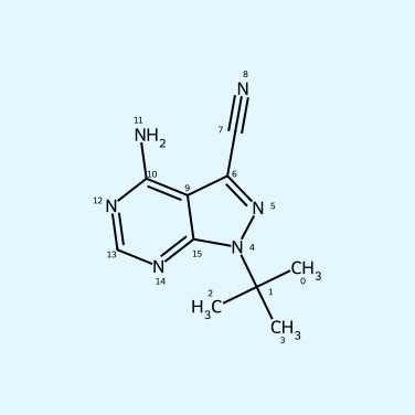 CC(C)(C)n1nc(C#N)c2c(N)ncnc21